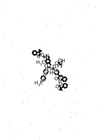 Cc1cc(C[C@@H](NC(=O)N2CCC(c3cc4ccccc4n(COC(=O)C4(c5ccccc5)CC4)c3=O)CC2)C(=O)N2CCN(C3CCN(C)CC3)CC2)cc2cnn(COC(=O)C3(c4ccccc4)CC3)c12.O=C(O)C(F)(F)F